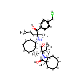 CCCC(C)(N[C@H]1CCCCCC[C@H]1C(=O)[C@@](C)(CC)N1C(=O)[C@@H]2CCCCCC[C@@H]21)C(=O)c1ccc(CCl)cc1